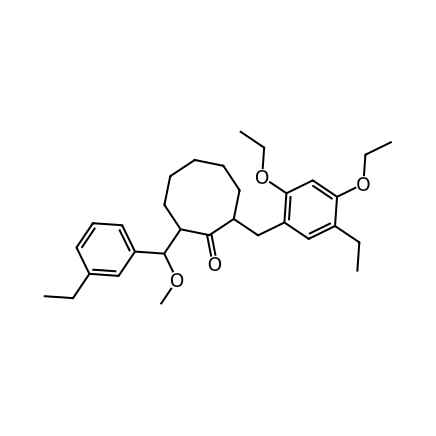 CCOc1cc(OCC)c(CC2CCCCCC(C(OC)c3cccc(CC)c3)C2=O)cc1CC